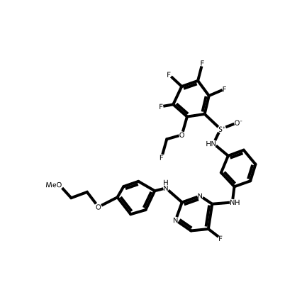 COCCOc1ccc(Nc2ncc(F)c(Nc3cccc(N[S+]([O-])c4c(F)c(F)c(F)c(F)c4OCF)c3)n2)cc1